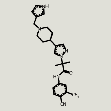 CC(C)(C(=O)Nc1ccc(C#N)c(C(F)(F)F)c1)n1cc(C2CCN(Cc3cc[nH]c3)CC2)cn1